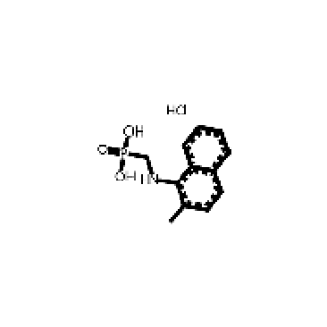 Cc1ccc2ccccc2c1NCP(=O)(O)O.Cl